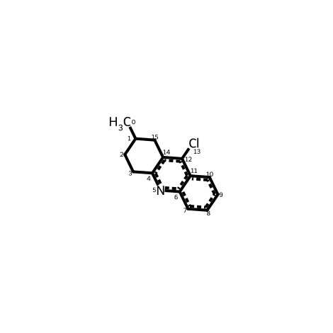 CC1CCc2nc3ccccc3c(Cl)c2C1